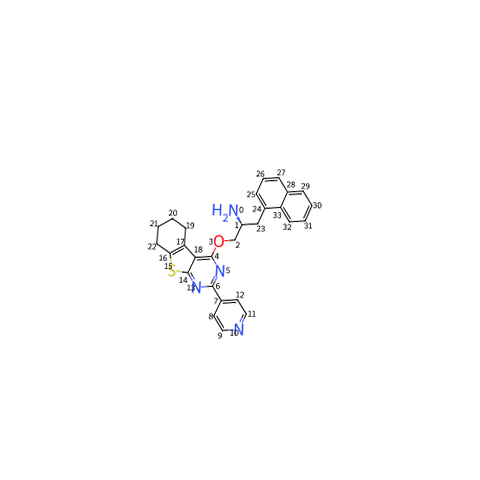 N[C@H](COc1nc(-c2ccncc2)nc2sc3c(c12)CCCC3)Cc1cccc2ccccc12